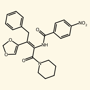 O=C(NC(C(=O)N1CCCCC1)=C(Cc1ccccc1)C1=COCO1)c1ccc([N+](=O)[O-])cc1